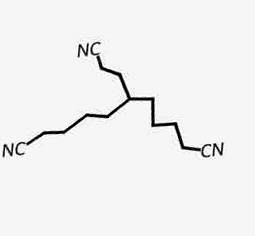 N#CCCCCC(CCC#N)CCCCC#N